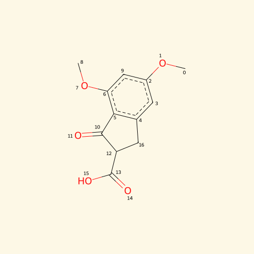 COc1cc2c(c(OC)c1)C(=O)C(C(=O)O)C2